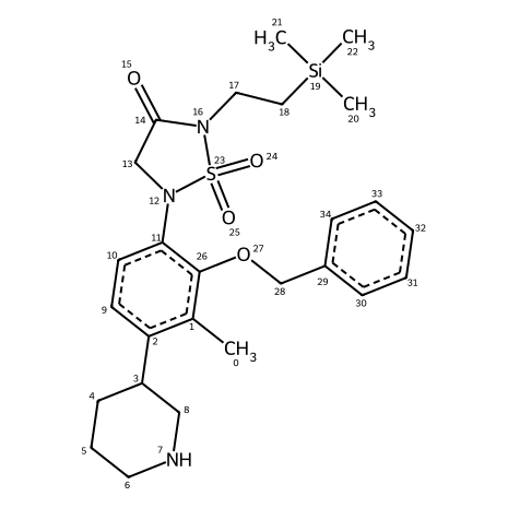 Cc1c(C2CCCNC2)ccc(N2CC(=O)N(CC[Si](C)(C)C)S2(=O)=O)c1OCc1ccccc1